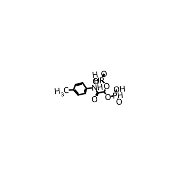 Cc1ccc(NC(=O)C(O[PH](=O)O)O[PH](=O)O)cc1